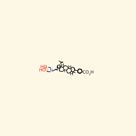 C=C(C)[C@@H]1CC[C@]2(/C=C/CN3CCS(O)(O)CC3)CC[C@]3(C)[C@H](CC[C@@H]4[C@@]5(C)CC=C(c6ccc(C(=O)O)cc6)C(C)(C)[C@@H]5CC[C@]43C)[C@@H]12